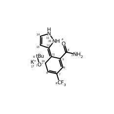 CC(C)(C)[O-].NC(=O)C1=CC(C(F)(F)F)=CCC1=C1C=CNN1.[K+]